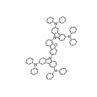 c1ccc(N(c2ccccc2)c2ccc3c(c2)c2cc(N(c4ccccc4)c4ccccc4)ccc2n3-c2ccc3oc4c(-n5c6ccc(N(c7ccccc7)c7ccccc7)cc6c6cc(N(c7ccccc7)c7ccccc7)ccc65)cccc4c3c2)cc1